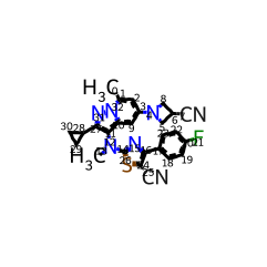 Cc1cc(N2CC(C#N)C2)cc2c(N(C)c3nc(-c4ccc(F)cc4)c(C#N)s3)c(C3CC3)nn12